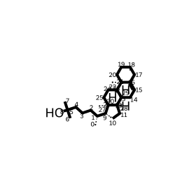 C[C@H](CCCC(C)(C)O)[C@H]1CC[C@H]2[C@@H]3CC=C4C[CH]CC[C@]4(C)[C@H]3CC[C@]12C